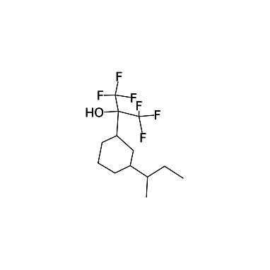 CCC(C)C1CCCC(C(O)(C(F)(F)F)C(F)(F)F)C1